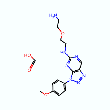 COc1ccc(-n2nnc3cnc(NCCOCCN)nc32)cc1.O=CO